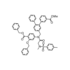 COC(=O)c1cccc(-c2cc(CN(C(=O)CN(C)S(=O)(=O)c3ccc(C)cc3)c3ccc(C(=O)OCc4ccccc4)c(OCc4ccccc4)c3)ccc2-c2ccccc2)c1